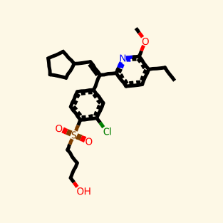 CCc1ccc(/C(=C/C2CCCC2)c2ccc(S(=O)(=O)CCCO)c(Cl)c2)nc1OC